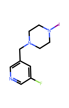 Fc1cncc(CN2CCN(I)CC2)c1